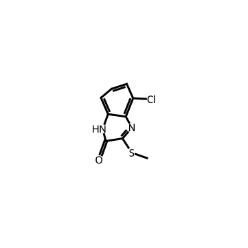 CSc1nc2c(Cl)cccc2[nH]c1=O